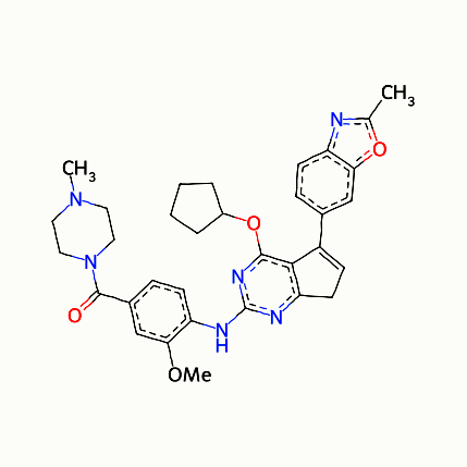 COc1cc(C(=O)N2CCN(C)CC2)ccc1Nc1nc2c(c(OC3CCCC3)n1)C(c1ccc3nc(C)oc3c1)=CC2